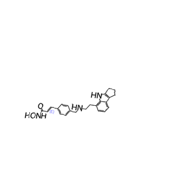 O=C(/C=C/c1ccc(CNCCc2cccc3c4c([nH]c23)CCC4)cc1)NO